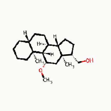 CO[C@H]1C[C@]2(C)[C@@H](CO)CC[C@H]2[C@@H]2CC[C@H]3CCCC[C@]3(C)[C@H]21